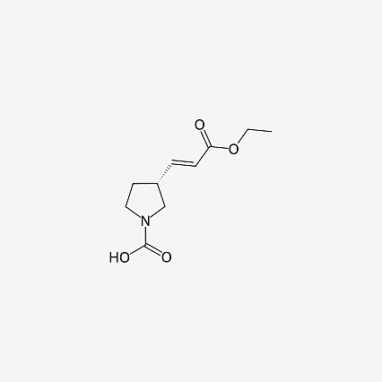 CCOC(=O)/C=C/[C@H]1CCN(C(=O)O)C1